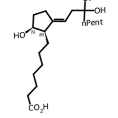 CCCCCC(O)(CC)CC=C1CC[C@H](O)[C@@H]1CCCCCCC(=O)O